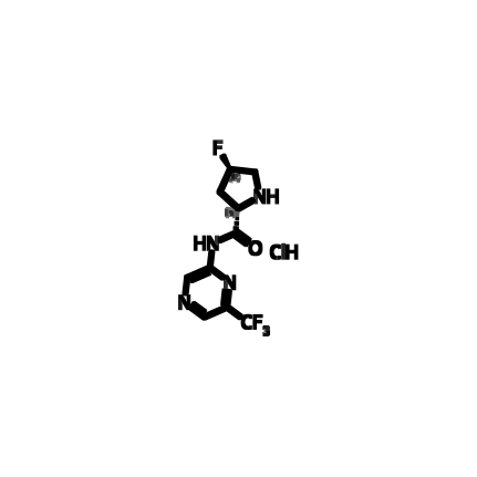 Cl.O=C(Nc1cncc(C(F)(F)F)n1)[C@@H]1C[C@@H](F)CN1